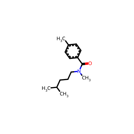 Cc1ccc(C(=O)N(C)CCCC(C)C)cc1